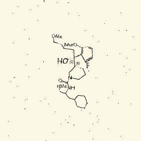 CNCC(CC1CCCCC1)NC(=O)N1CCC[C@@H]([C@@](O)(CCCCOC)c2c(F)cccc2OC)C1